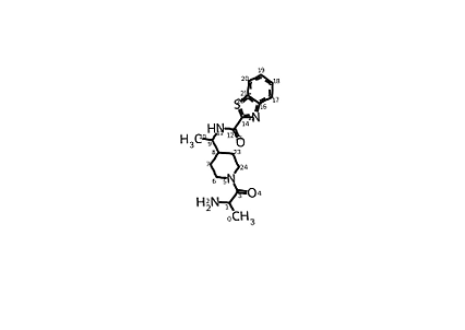 CC(N)C(=O)N1CCC(C(C)NC(=O)c2nc3ccccc3s2)CC1